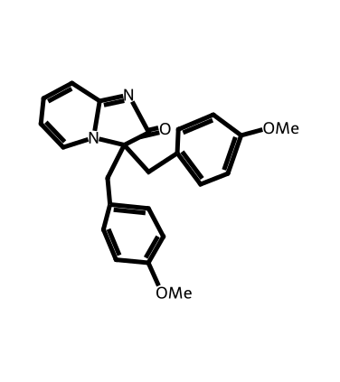 COc1ccc(CC2(Cc3ccc(OC)cc3)C(=O)N=C3C=CC=CN32)cc1